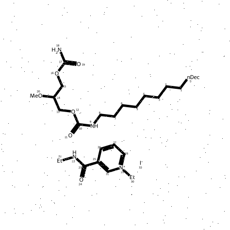 CCCCCCCCCCCCCCCCCCNC(=O)OCC(COC(N)=O)OC.CCNC(=O)c1ccc[n+](CC)c1.[I-]